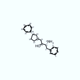 N[C@H](Cc1ccccc1)[C@@H](O)CN1CC[C@H](c2ccccc2)C1